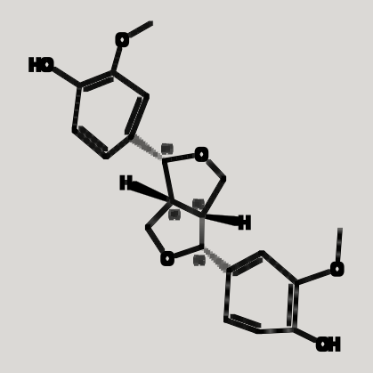 COc1cc([C@@H]2OC[C@H]3[C@@H]2CO[C@H]3c2ccc(O)c(OC)c2)ccc1O